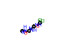 O=C(Nc1ccc(-c2nc3cc(C(=O)Nc4ccccn4)ccc3[nH]2)cc1)c1ccc(Cl)c(Cl)c1